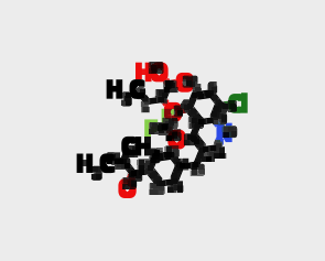 CCC(Oc1ccc(Cl)c2ncc(Cc3ccc(C(=O)C(C)C)cc3)c(OC(F)F)c12)C(=O)O